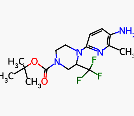 Cc1nc(N2CCN(C(=O)OC(C)(C)C)CC2C(F)(F)F)ccc1N